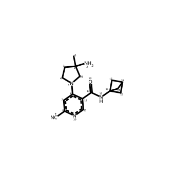 CC1(N)CCN(c2cc(C#N)ncc2C(=O)NC23CC(C2)C3)C1